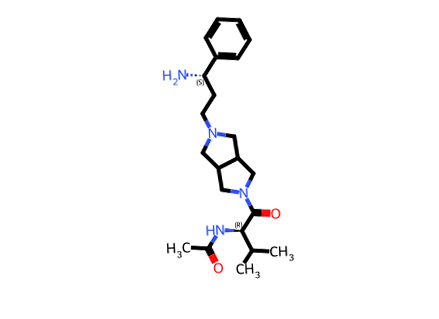 CC(=O)N[C@@H](C(=O)N1CC2CN(CC[C@H](N)c3ccccc3)CC2C1)C(C)C